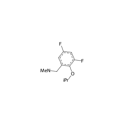 CNCc1cc(F)cc(F)c1OC(C)C